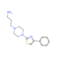 NCCCN1CCN(c2nc(-c3ccccc3)cs2)CC1